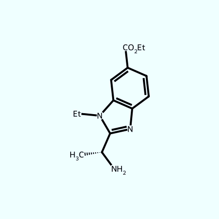 CCOC(=O)c1ccc2nc([C@@H](C)N)n(CC)c2c1